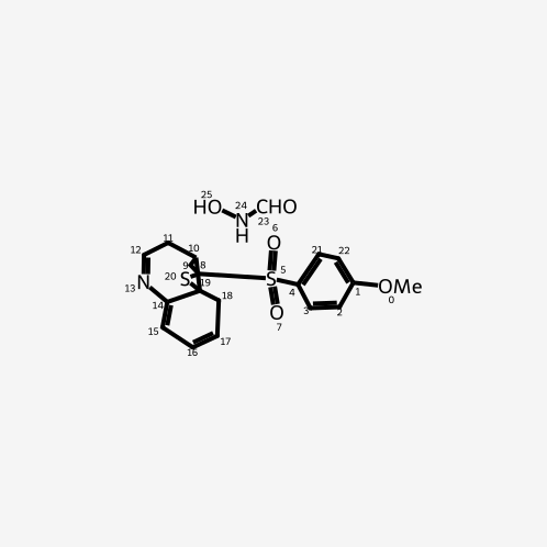 COc1ccc(S(=O)(=O)C2CC3CC=NC4=CC=CCC43S2)cc1.O=CNO